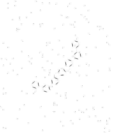 c1ccc(-c2cccc(-c3ccc4c(c3)oc3cc5c(cc34)oc3cc(-c4cccc(-c6ccccc6)c4)ccc35)c2)cc1